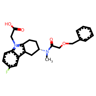 CN(C(=O)COCc1ccccc1)[C@H]1CCc2c(c3cc(F)ccc3n2CC(=O)O)C1